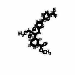 CCS(=O)(=O)C(Cc1ncc(-c2nnc(C(F)F)o2)s1)c1cccc(C(=O)OC)c1